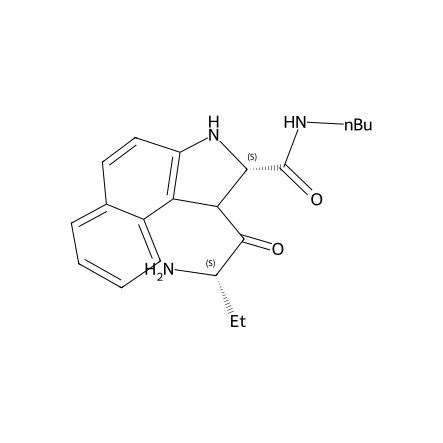 CCCCNC(=O)[C@H]1Nc2ccc3ccccc3c2C1C(=O)[C@@H](N)CC